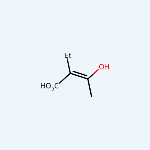 CCC(C(=O)O)=C(C)O